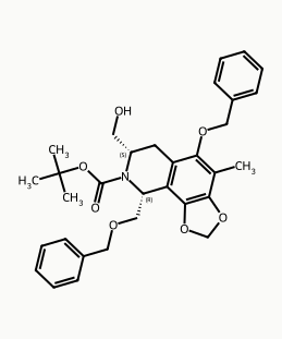 Cc1c(OCc2ccccc2)c2c(c3c1OCO3)[C@H](COCc1ccccc1)N(C(=O)OC(C)(C)C)[C@H](CO)C2